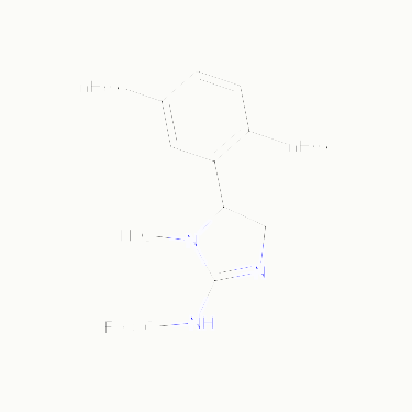 CCCCCCc1ccc(CCCCCC)c(C2CN=C(NC(=O)OCC)N2C)c1